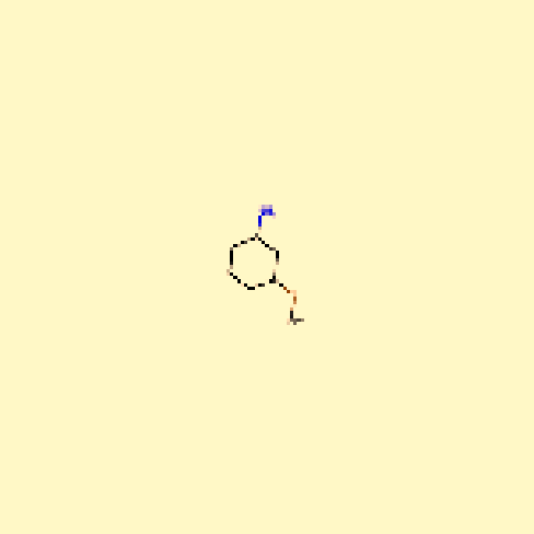 CCCSC1CCCC(N)C1